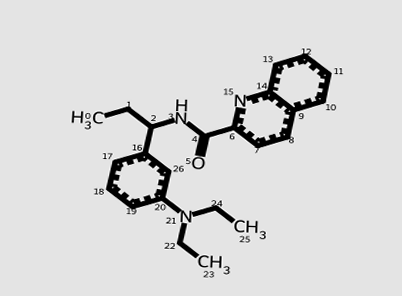 CCC(NC(=O)c1ccc2ccccc2n1)c1cccc(N(CC)CC)c1